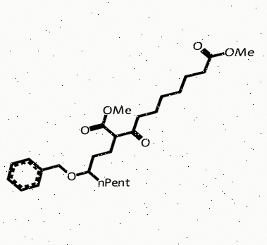 CCCCCC(CCC(C(=O)CCCCCCC(=O)OC)C(=O)OC)OCc1ccccc1